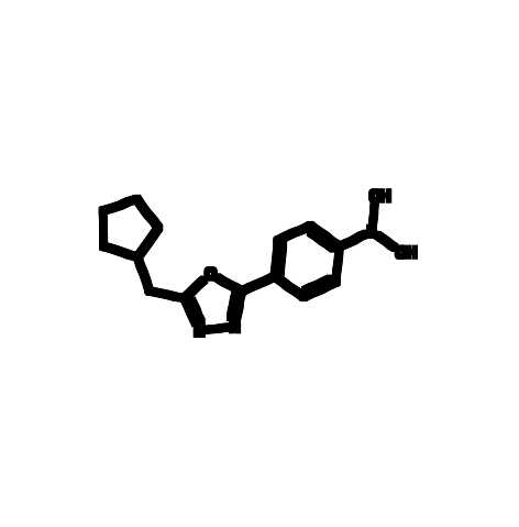 OB(O)c1ccc(-c2nnc(CC3CCCC3)o2)cc1